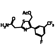 CC(=O)OCc1sc(CC(N)=O)nc1-c1cc(F)cc(C(F)(F)F)c1